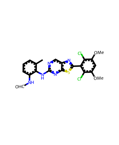 COc1cc(OC)c(Cl)c(-c2nc3cnc(Nc4c(C)cccc4NC=O)nc3s2)c1Cl